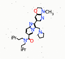 CC(C)CCN(CCC(C)C)C(=O)c1ccc2nc(-c3cnc4c(c3)OCCN4C)c(CN3CCCC3)n2c1